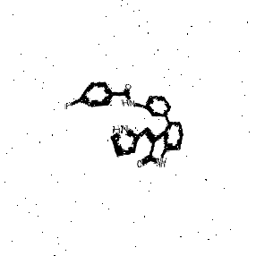 O=C1Nc2cccc(-c3cccc(NC(=O)c4ccc(F)cc4)c3)c2/C1=C/c1ccc[nH]1